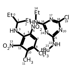 CCC(CC)Nc1c([N+](=O)[O-])cc(C)c(C)c1[N+](=O)[O-].CCNc1nc(Cl)nc(NC(C)(C)C)n1